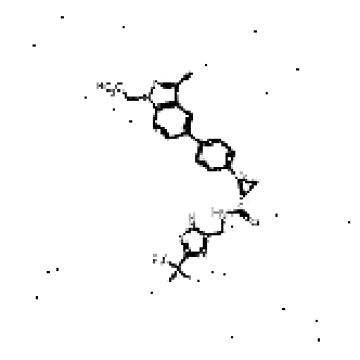 Cc1nn(CC(=O)O)c2ccc(-c3ccc([C@H]4C[C@@H]4C(=O)NCc4nc(C(C)(C)C(F)(F)F)n[nH]4)cc3)cc12